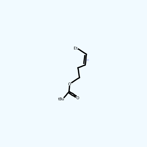 CC/C=C\CCOC(=O)C(C)(C)C